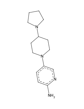 Nc1ccc(N2CCC(N3CCCC3)CC2)cn1